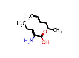 C=CCCCC.CC/C=C(\N)C(=O)O